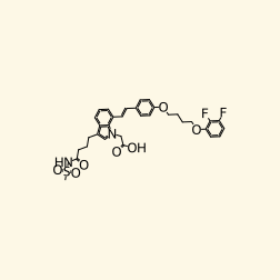 CS(=O)(=O)NC(=O)CCCc1cn(CC(=O)O)c2c(C=Cc3ccc(OCCCCOc4cccc(F)c4F)cc3)cccc12